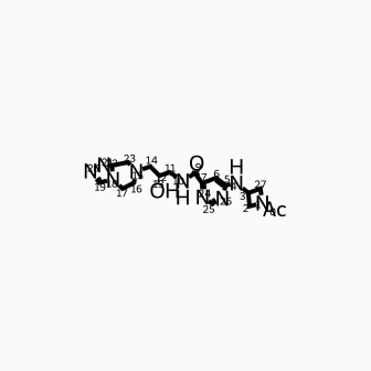 CC(=O)N1CC(Nc2cc(C(=O)NC[C@H](O)CN3CCn4cnnc4C3)ncn2)C1